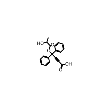 CC(O)C(=O)OC(C#CC(=O)O)(c1ccccc1)c1ccccc1